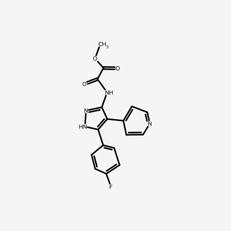 COC(=O)C(=O)Nc1n[nH]c(-c2ccc(F)cc2)c1-c1ccncc1